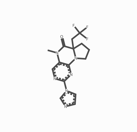 CN1C(=O)C2(CC(F)(F)F)CCCN2c2nc(-n3ccnc3)ncc21